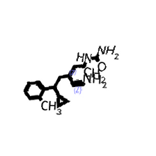 C=C(/C=C(\C=C/N)CC(c1ccccc1C)C1CC1)NC(N)=O